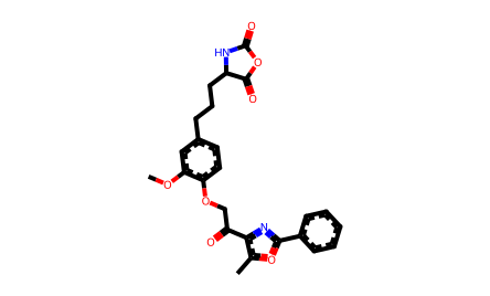 COc1cc(CCCC2NC(=O)OC2=O)ccc1OCC(=O)c1nc(-c2ccccc2)oc1C